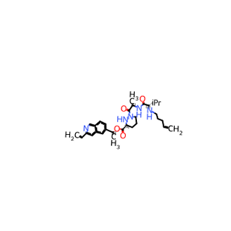 C=CCCCN[C@H](C(=O)N[C@@H](C)C(=O)N1CCC[C@@H](C(=O)O[C@H](C)c2ccc3cnc(C=C)cc3c2)N1)C(C)C